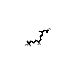 CCC(=O)C=C(C)C=CCC(CC)CCCC(C)(O)CC